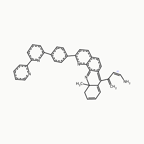 C=C(/C=C\N)C1=c2ccc3ccc(-c4ccc(-c5cccc(-c6ccccn6)n5)cc4)nc3c2=NC2(C)CC=CC=C12